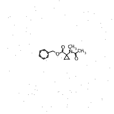 CC(=O)N(C)C1(C(=O)OCc2ccccc2)CC1